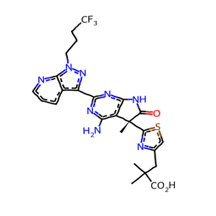 CC(C)(Cc1csc([C@@]2(C)C(=O)Nc3nc(-c4nn(CCCC(F)(F)F)c5ncccc45)nc(N)c32)n1)C(=O)O